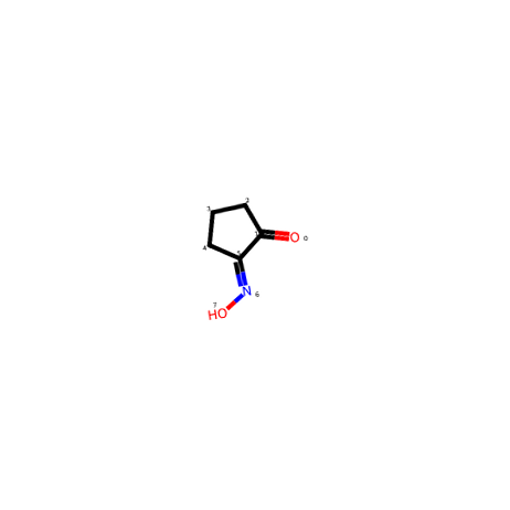 O=C1CCCC1=NO